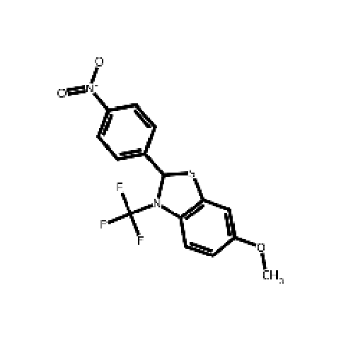 COc1ccc2c(c1)SC(c1ccc([N+](=O)[O-])cc1)N2C(F)(F)F